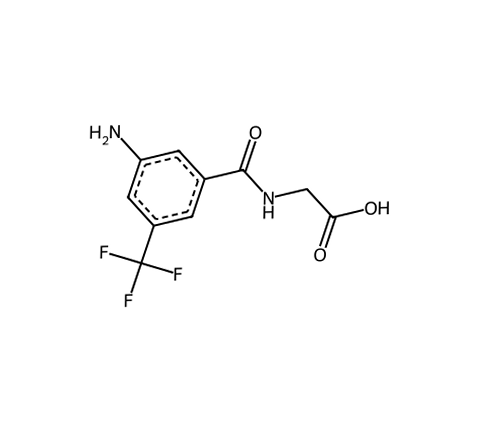 Nc1cc(C(=O)NCC(=O)O)cc(C(F)(F)F)c1